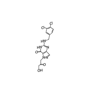 O=C(CO)Cn1ncc2nc(NCc3ccc(Cl)c(Cl)c3)[nH]c(=O)c21